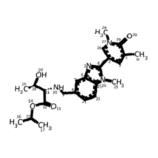 Cc1cc(-c2nc3cc(CN[C@H](C(=O)OC(C)C)[C@@H](C)O)ccc3n2C)cn(C)c1=O